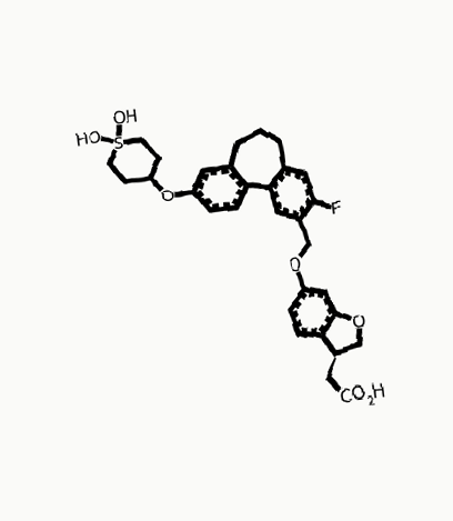 O=C(O)C[C@@H]1COc2cc(OCc3cc4c(cc3F)CCCc3cc(OC5CCS(O)(O)CC5)ccc3-4)ccc21